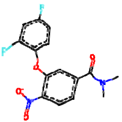 CN(C)C(=O)c1ccc([N+](=O)[O-])c(Oc2ccc(F)cc2F)c1